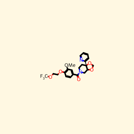 COc1cc(C(=O)N2CC[C@]3(c4ccccn4)OCOC3C2)ccc1OCCOC(F)(F)F